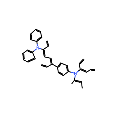 C=C/C=C(\C=C)N(/C(C)=C/C)c1ccc(/C(C=C)=C/C=C(\C=C)N(c2ccccc2)c2ccccc2)cc1